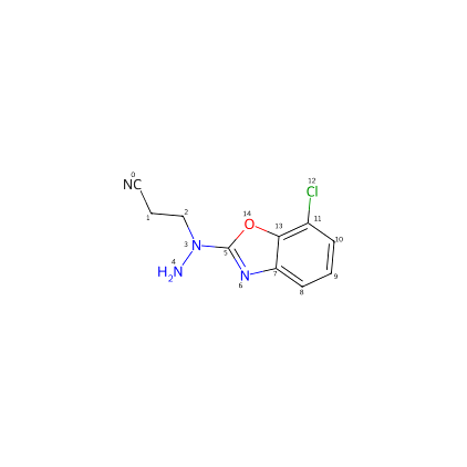 N#CCCN(N)c1nc2cccc(Cl)c2o1